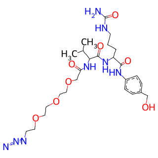 CC(C)C(NC(=O)COCCOCCOCCN=[N+]=[N-])C(=O)NC(CCCNC(N)=O)C(=O)Nc1ccc(CO)cc1